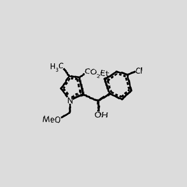 CCOC(=O)c1c(C)cn(COC)c1C(O)c1ccc(Cl)cc1